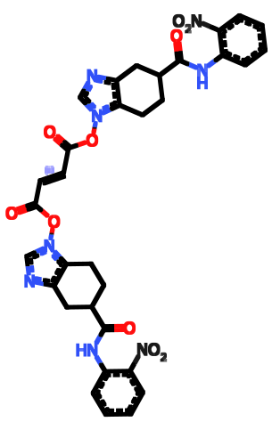 O=C(/C=C/C(=O)On1cnc2c1CCC(C(=O)Nc1ccccc1[N+](=O)[O-])C2)On1cnc2c1CCC(C(=O)Nc1ccccc1[N+](=O)[O-])C2